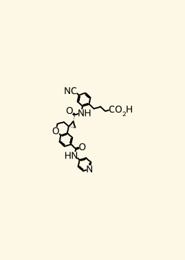 N#Cc1ccc(CCCC(=O)O)c(NC(=O)[C@@H]2C[C@]23CCOc2ccc(C(=O)Nc4ccncc4)cc23)c1